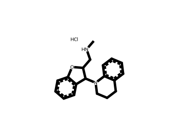 CNCC1Oc2ccccc2C1N1CCCc2ccccc21.Cl